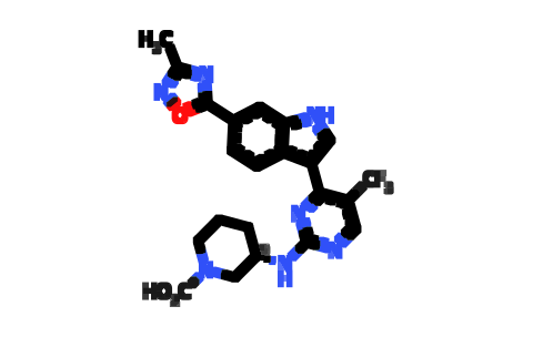 Cc1noc(-c2ccc3c(-c4nc(N[C@H]5CCCN(C(=O)O)C5)ncc4C(F)(F)F)c[nH]c3c2)n1